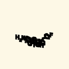 Nc1ccn([C@@H]2O[C@H](CN3CCCCC3Cc3ccc(F)cc3)[C@@H](O)C2(F)F)c(=O)n1